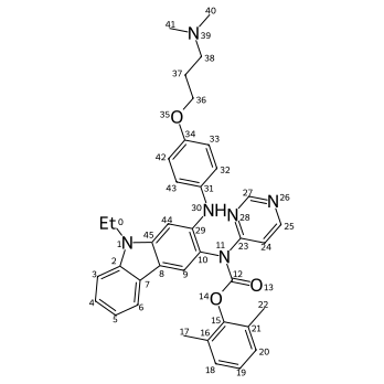 CCn1c2ccccc2c2cc(N(C(=O)Oc3c(C)cccc3C)c3ccncn3)c(Nc3ccc(OCCCN(C)C)cc3)cc21